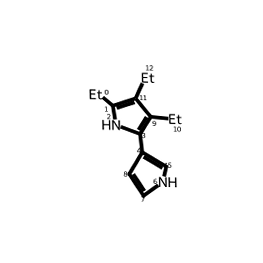 CCc1[nH]c(-c2[c][nH]cc2)c(CC)c1CC